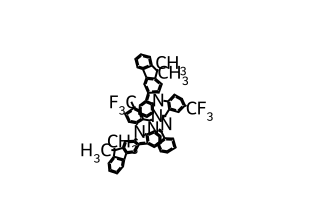 CC1(C)c2ccccc2-c2cc3c4ccccc4n(-c4ccc(C(F)(F)F)cc4-c4nc(-c5ccccc5)nc(-c5cc(C(F)(F)F)ccc5-n5c6ccccc6c6cc7c(cc65)C(C)(C)c5ccccc5-7)n4)c3cc21